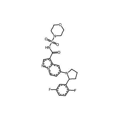 O=C(NS(=O)(=O)N1CCOCC1)c1cnn2ccc(N3CCCC3c3cc(F)ccc3F)cc12